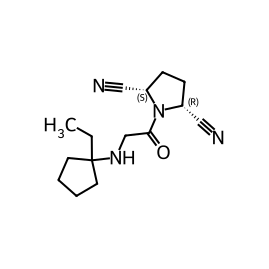 CCC1(NCC(=O)N2[C@H](C#N)CC[C@@H]2C#N)CCCC1